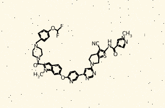 Cn1cc(C(=O)Nc2sc3c(c2C#N)CCN(c2cc(-c4ccc(Oc5ccc6cc(C(=O)N7CCN(Cc8ccc(OC(F)F)cc8)CC7)n(C)c6c5)nc4)ncn2)C3)cn1